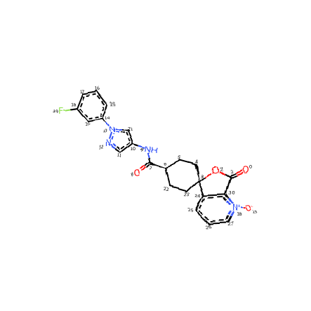 O=C1O[C@]2(CC[C@H](C(=O)Nc3cnn(-c4cccc(F)c4)c3)CC2)c2ccc[n+]([O-])c21